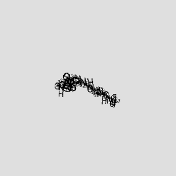 CC(C)(C)OC(=O)NCCOCCN1CCN(CCOCCNc2ccc3c(c2)C(=O)N(C2CCC(=O)NC2=O)C3=O)CC1